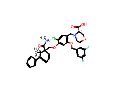 CNC(=O)C1(COc2cc(OCc3cc(F)cc(F)c3)c(CN3CCOC[C@H]3C(=O)O)cc2Cl)C=CC=C(c2ccccc2)C1(C)C